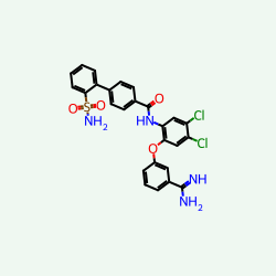 N=C(N)c1cccc(Oc2cc(Cl)c(Cl)cc2NC(=O)c2ccc(-c3ccccc3S(N)(=O)=O)cc2)c1